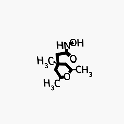 C[C@@H]1C[C@@](C)(CC(=O)NO)C[C@H](C)O1